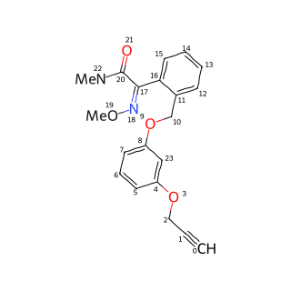 C#CCOc1cccc(OCc2ccccc2C(=NOC)C(=O)NC)c1